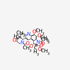 CC[C@@]12C=Cc3nc4c(OC)c(OC)c5c(c4cc3C1N(C(C)=O)CC1O[C@@H]12)C(=O)[C@](C)(C(=O)OC)N5C(C)=O